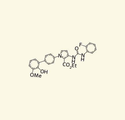 CCOC(=O)c1c(NC(=O)Nc2ccccc2F)ccn1-c1ccc(-c2cccc(OC)c2O)cc1